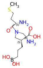 CSCC[C@H](N)C(=O)N1C[C@H](CCCB(O)O)[C@](N)(C(=O)O)C1